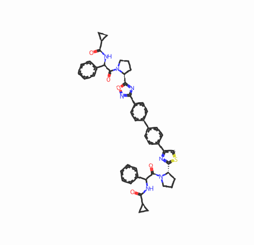 O=C(NC(C(=O)N1CCC[C@H]1c1nc(-c2ccc(-c3ccc(-c4csc([C@@H]5CCCN5C(=O)C(NC(=O)C5CC5)c5ccccc5)n4)cc3)cc2)no1)c1ccccc1)C1CC1